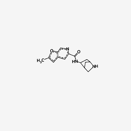 Cc1cc2cc(C(=O)NC3CC4CC3CN4)ncc2o1